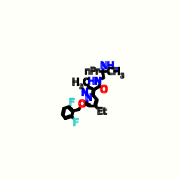 CCCC(C)(N)CNC(=O)c1c(C)nn2c(OCc3c(F)cccc3F)cc(CC)cc12